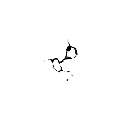 CN(C)CC1CCC(=O)C=C1c1cccc(O)c1